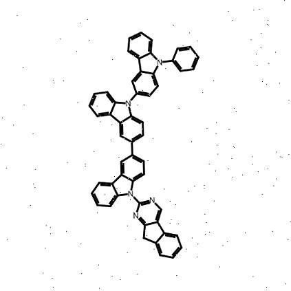 c1ccc(-n2c3ccccc3c3cc(-n4c5ccccc5c5cc(-c6ccc7c(c6)c6ccccc6n7-c6ncc7c(n6)Cc6ccccc6-7)ccc54)ccc32)cc1